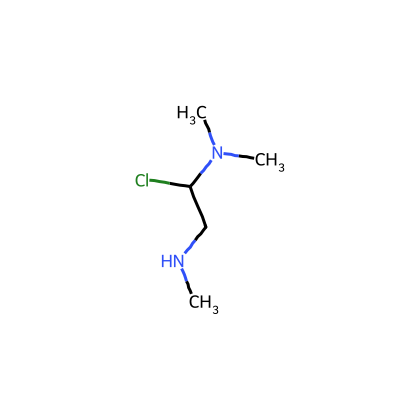 CNCC(Cl)N(C)C